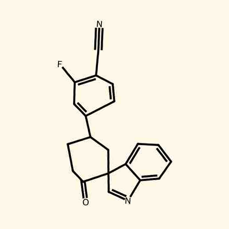 N#Cc1ccc(C2CCC(=O)C3(C=Nc4ccccc43)C2)cc1F